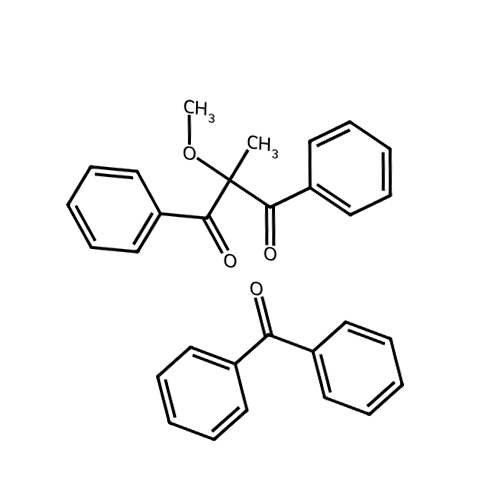 COC(C)(C(=O)c1ccccc1)C(=O)c1ccccc1.O=C(c1ccccc1)c1ccccc1